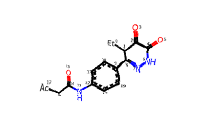 CCC1C(=O)C(=O)NN=C1c1ccc(NC(=O)CC(C)=O)cc1